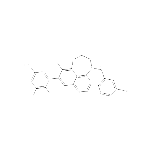 Cc1cc(N)nc(-c2cc3ncnc4c3c(c2Cl)OCCN4[C@H](C)c2cncc(N)c2)c1C(F)(F)F